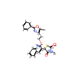 Cc1oc(-c2ccccc2)nc1CCOc1nc2ccccc2cc1C1SC(=O)N(C)C1=O